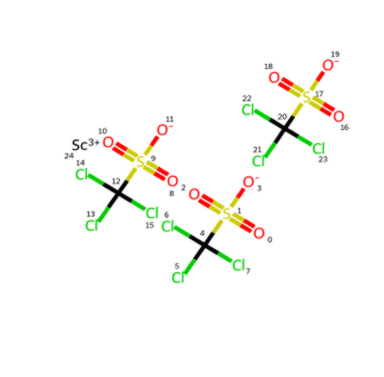 O=S(=O)([O-])C(Cl)(Cl)Cl.O=S(=O)([O-])C(Cl)(Cl)Cl.O=S(=O)([O-])C(Cl)(Cl)Cl.[Sc+3]